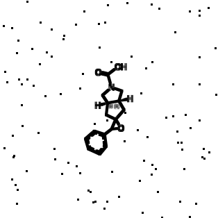 O=C(O)N1C[C@@H]2CC3(C[C@@H]2C1)OC3c1ccccc1